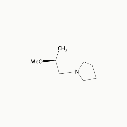 CO[C@@H](C)CN1CCCC1